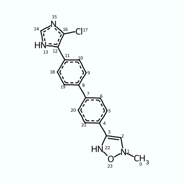 CN1C=C(c2ccc(-c3ccc(-c4[nH]cnc4Cl)cc3)cc2)NO1